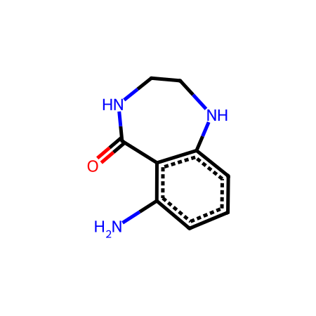 Nc1cccc2c1C(=O)NCCN2